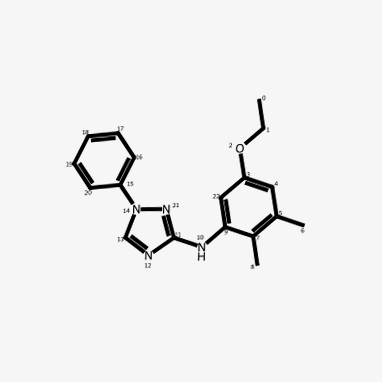 CCOc1cc(C)c(C)c(Nc2ncn(-c3ccccc3)n2)c1